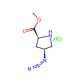 COC(=O)[C@@H]1C[C@H](N=[N+]=[N-])CN1.Cl